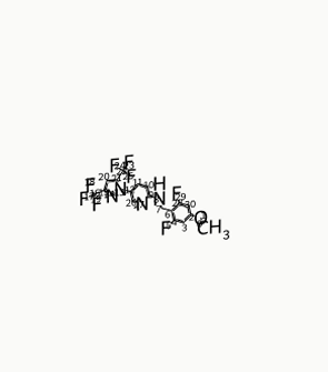 COc1cc(F)c(CNc2ccc(-n3nc(C(F)(F)F)cc3C(F)(F)F)cn2)c(F)c1